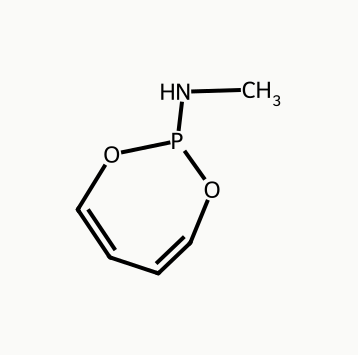 CNp1occcco1